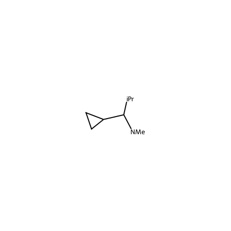 CNC(C(C)C)C1CC1